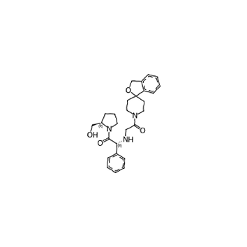 O=C(CN[C@@H](C(=O)N1CCC[C@@H]1CO)c1ccccc1)N1CCC2(CC1)OCc1ccccc12